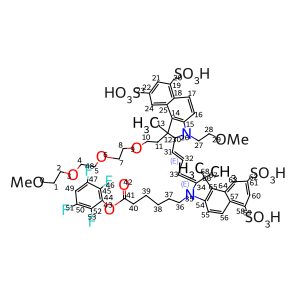 COCCOCCOCCOCCC1(C)c2c(ccc3c(S(=O)(=O)O)cc(S(=O)(=O)O)cc23)N(CCOC)C1/C=C/C=C1/N(CCCCCC(=O)Oc2c(F)c(F)cc(F)c2F)c2ccc3c(S(=O)(=O)O)cc(S(=O)(=O)O)cc3c2C1(C)C